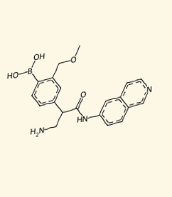 COCc1cc(C(CN)C(=O)Nc2ccc3cnccc3c2)ccc1B(O)O